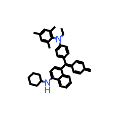 C=c1ccc(=C(c2ccc(N(CC)c3c(C)cc(C)cc3C)cc2)c2ccc(NC3CCCCC3)c3ccccc23)cc1